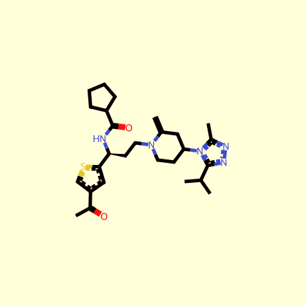 C=C1CC(n2c(C)nnc2C(C)C)CCN1CC[C@H](NC(=O)C1CCCC1)c1cc(C(C)=O)cs1